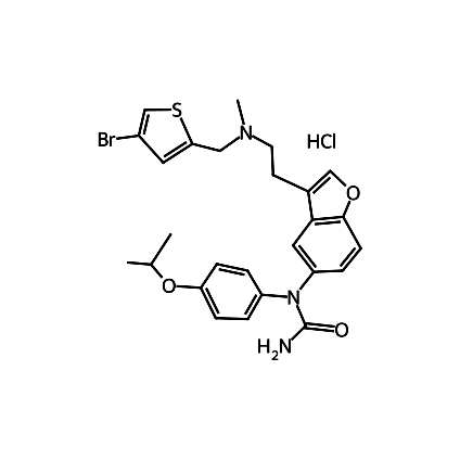 CC(C)Oc1ccc(N(C(N)=O)c2ccc3occ(CCN(C)Cc4cc(Br)cs4)c3c2)cc1.Cl